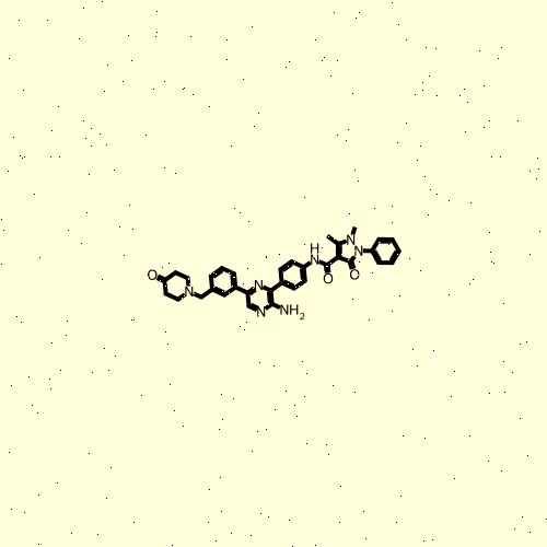 Cc1c(C(=O)Nc2ccc(-c3nc(-c4cccc(CN5CCC(=O)CC5)c4)cnc3N)cc2)c(=O)n(-c2ccccc2)n1C